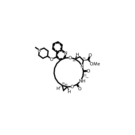 COC(=O)[C@@H]1C[C@@H]2CN1C(=O)[C@H](C)NC(=O)O[C@@H]1C[C@H]1CCCCCc1c(nc3ccccc3c1OC1CCN(C)CC1)O2